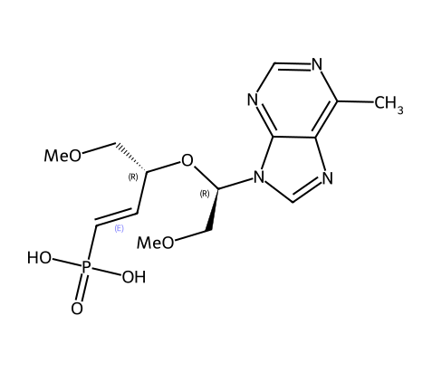 COC[C@@H](/C=C/P(=O)(O)O)O[C@H](COC)n1cnc2c(C)ncnc21